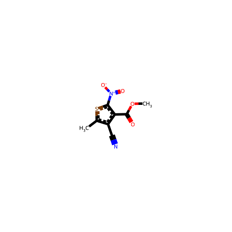 COC(=O)c1c([N+](=O)[O-])sc(C)c1C#N